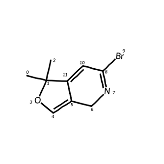 CC1(C)OC=C2CN=C(Br)C=C21